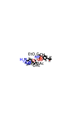 CCOC(=O)[C@H](C)NP(=O)(OC[C@H]1O[C@@](C#N)(c2ccc3c(N)ncnn23)[C@H](OC(C)=O)[C@@H]1OC(C)=O)Oc1ccc(C23CC(C2)C3)cc1